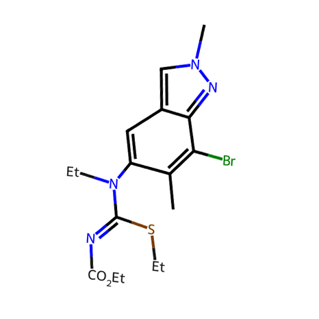 CCOC(=O)/N=C(\SCC)N(CC)c1cc2cn(C)nc2c(Br)c1C